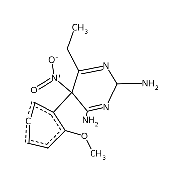 CCC1=NC(N)N=C(N)C1(c1ccccc1OC)[N+](=O)[O-]